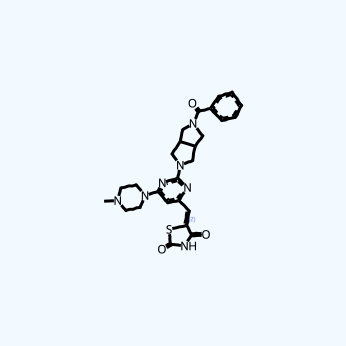 CN1CCN(c2cc(/C=C3\SC(=O)NC3=O)nc(N3CC4CN(C(=O)c5ccccc5)CC4C3)n2)CC1